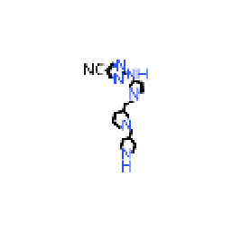 N#Cc1cnc(N[C@@H]2CCN(CCC3CCCN(CC4CCNCC4)C3)C2)nc1